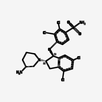 NC1CCCN([C@H]2Cc3c(Cl)cc(Cl)cc3[C@@H]2Oc2ccc(S(N)(=O)=O)c(Cl)c2Cl)C1